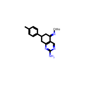 CO/N=C1\CC(c2ccc(C)cc2)Cc2nc(N)ncc21